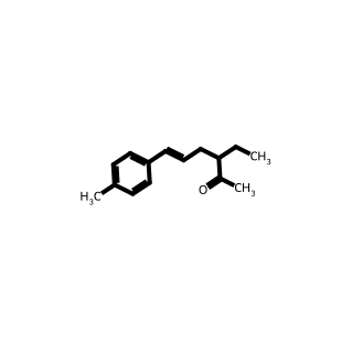 CCC(C/C=C/c1ccc(C)cc1)C(C)=O